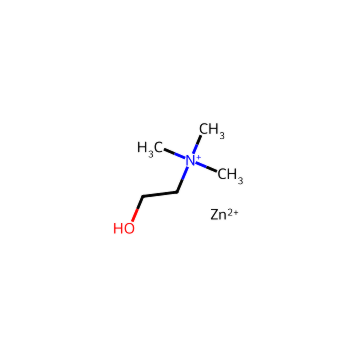 C[N+](C)(C)CCO.[Zn+2]